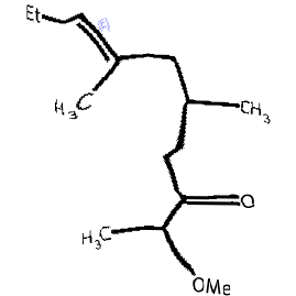 CC/C=C(\C)CC(C)CC(=O)C(C)OC